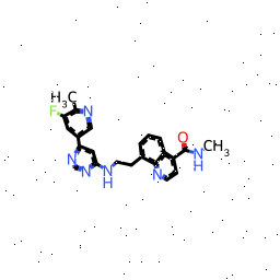 CNC(=O)c1ccnc2c(CCNc3cc(-c4cnc(C)c(F)c4)ncn3)cccc12